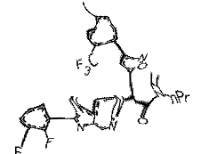 CCCNC(=O)C(c1cc(-c2ccc(C)cc2C(F)(F)F)no1)n1cc2nc(-c3cccc(F)c3F)nc-2cn1